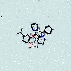 COc1ccc(C(C)C)cc1C[C@H]1[C@H]2CCN([C@@H]1C(c1ccccc1)c1ccccc1)[C@@](N)(C(=O)N(C)C)C2